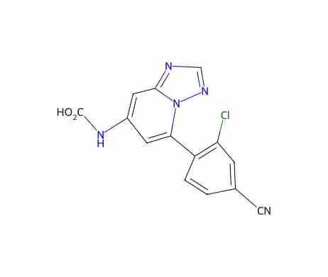 N#Cc1ccc(-c2cc(NC(=O)O)cc3ncnn23)c(Cl)c1